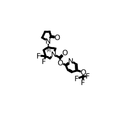 O=C(Oc1ccc(OC(F)(F)F)cn1)N1C[C@H](N2CCCC2=O)CC(F)(F)C1